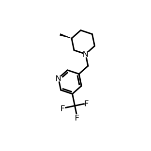 C[C@H]1CCCN(Cc2cncc(C(F)(F)F)c2)C1